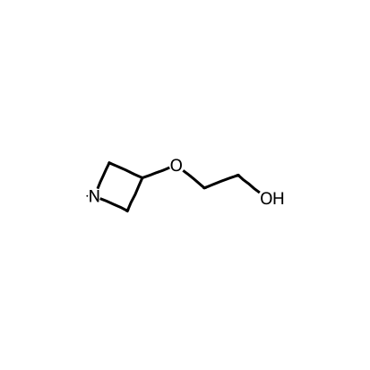 OCCOC1C[N]C1